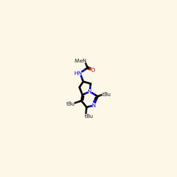 CNC(=O)NC1CC2=C(C(C)(C)C)C(C(C)(C)C)N=C(C(C)(C)C)N2C1